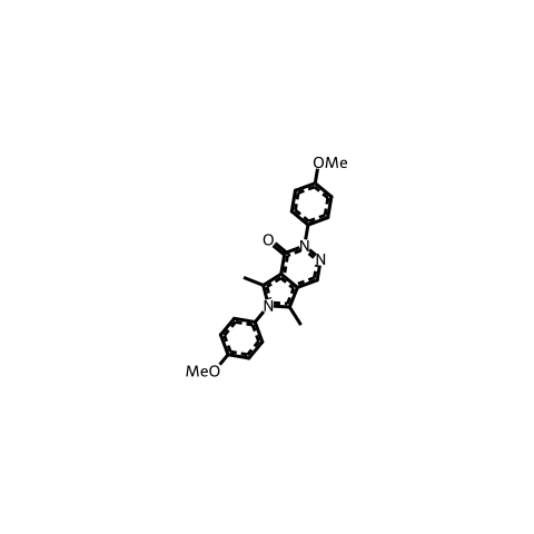 COc1ccc(-n2c(C)c3cnn(-c4ccc(OC)cc4)c(=O)c3c2C)cc1